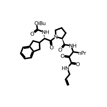 C=CCNC(=O)C(=O)C(CCC)NC(=O)[C@@H]1CCCN1C(=O)[C@@H](NC(=O)OCC(C)C)C1Cc2ccccc2C1